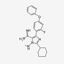 CNn1c(C2CCCCC2)nc(-c2ccc(Oc3ccccc3)cc2F)c1C(=N)N